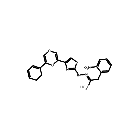 O=C(O)C(Cc1ccccc1[N+](=O)[O-])=NNc1nc(C2=COC=C(C3=CC=CCC3)O2)cs1